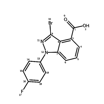 O=C(O)c1cccc2c1c(Br)nn2-c1ccc(F)cc1